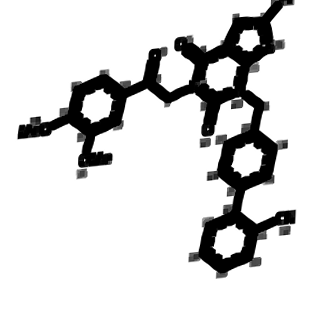 CCc1cc2c(=O)n(CC(=O)c3ccc(OC)c(OC)c3)c(=O)n(Cc3ccc(-c4ccccc4C#N)cc3)c2s1